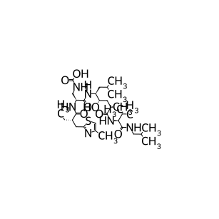 CC[C@@H](Cc1nc(C)cs1)C(=O)N[C@@H](CNC(=O)O)C(=O)N[C@@H](CC(C)C)[C@@H](O)C[C@@H](C)C(=O)N[C@H](C(=O)NCC(C)C)C(C)C